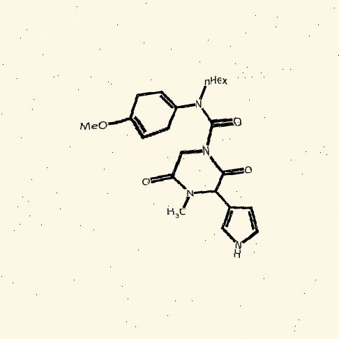 CCCCCCN(C(=O)N1CC(=O)N(C)C(c2cc[nH]c2)C1=O)C1=CCC(OC)=CC1